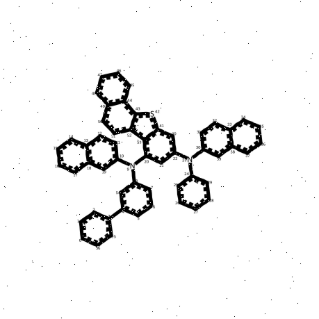 c1ccc(-c2cccc(N(c3ccc4ccccc4c3)c3cc(N(c4ccccc4)c4ccc5ccccc5c4)cc4sc5c6ccccc6ccc5c34)c2)cc1